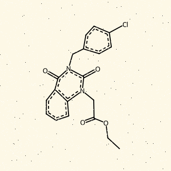 CCOC(=O)Cn1c(=O)n(Cc2ccc(Cl)cc2)c(=O)c2ccccc21